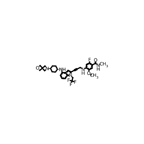 CNC(=O)c1cc(OC)c(NCC#Cc2cc3c(N[C@H]4CC[C@H](N5CC6(COC6)C5)CC4)cccc3n2CC(F)(F)F)cc1F